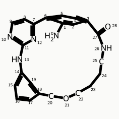 Nc1cc2ccc1-c1ccnc(n1)Nc1cccc(c1)COCCCCNC2=O